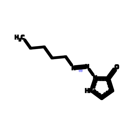 CCCCC/N=N/n1[nH]ccc1=O